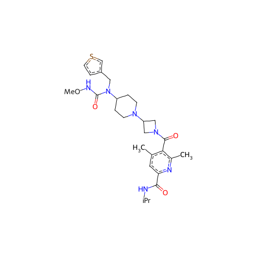 CONC(=O)N(Cc1ccsc1)C1CCN(C2CN(C(=O)c3c(C)cc(C(=O)NC(C)C)nc3C)C2)CC1